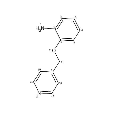 Nc1ccccc1OCc1ccncc1